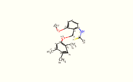 CCOc1cccc(NC(=S)CC)c1COc1cc(C)c(C)cc1C